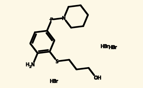 Br.Br.Br.Nc1ccc([P]N2CCCCC2)cc1SCCCO